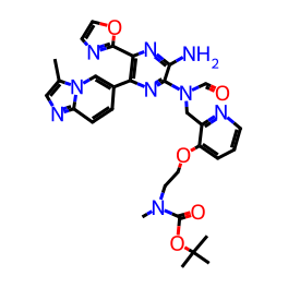 Cc1cnc2ccc(-c3nc(N(C=O)Cc4ncccc4OCCN(C)C(=O)OC(C)(C)C)c(N)nc3-c3ncco3)cn12